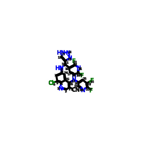 N#Cc1cnc2c(Cl)cc(N[C@H](c3c[nH]nn3)c3ccc(F)nc3F)cc2c1Nc1cnc(F)c(F)c1